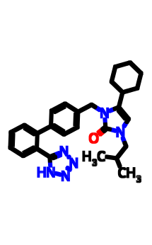 CC(C)Cn1cc(C2CCCCC2)n(Cc2ccc(-c3ccccc3-c3nnn[nH]3)cc2)c1=O